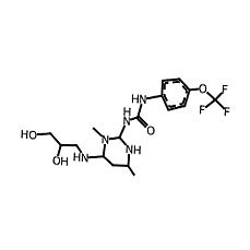 CC1CC(NCC(O)CO)N(C)C(NC(=O)Nc2ccc(OC(F)(F)F)cc2)N1